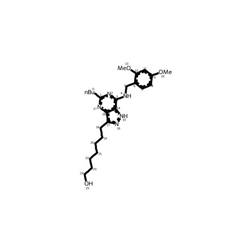 CCCCc1nc(NCc2ccc(OC)cc2OC)c2[nH]nc(CCCCCCCO)c2n1